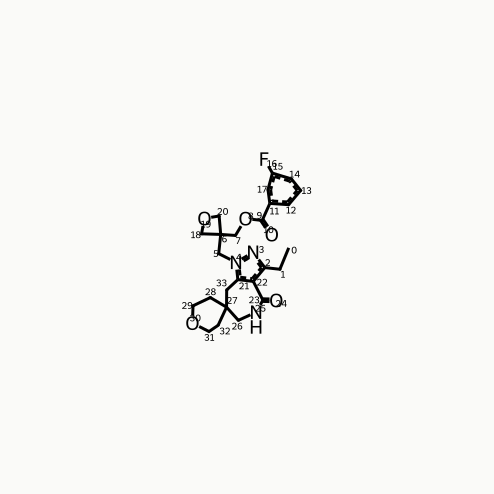 CCc1nn(CC2(COC(=O)c3cccc(F)c3)COC2)c2c1C(=O)NCC1(CCOCC1)C2